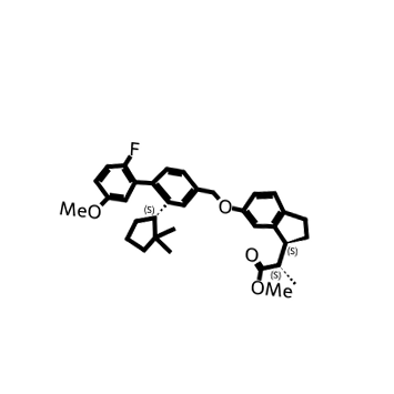 COC(=O)[C@@H](C)[C@@H]1CCc2ccc(OCc3ccc(-c4cc(OC)ccc4F)c([C@H]4CCCC4(C)C)c3)cc21